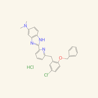 CN(C)c1ccc2[nH]c(-c3cccc(Cc4cc(Cl)ccc4OCc4ccccc4)n3)nc2c1.Cl